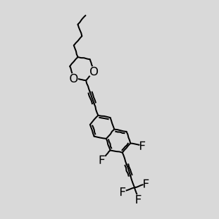 CCCCC1COC(C#Cc2ccc3c(F)c(C#CC(F)(F)F)c(F)cc3c2)OC1